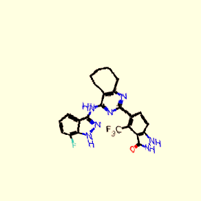 O=c1[nH][nH]c2ccc(-c3nc4c(c(Nc5n[nH]c6c(F)cccc56)n3)CCCCC4)c(C(F)(F)F)c12